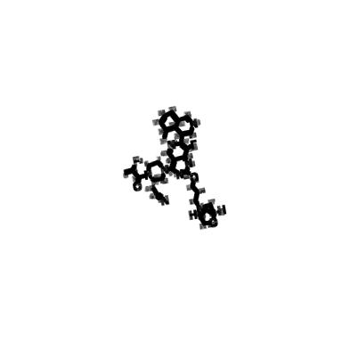 C=C(F)C(=O)N1CCN(c2nc(OCCCN3C[C@@H]4C[C@H]3CO4)nc3c(F)c(-c4cncc5cccc(C)c45)ncc23)C[C@@H]1CC#N